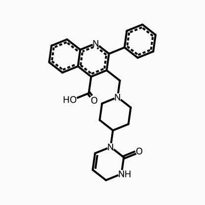 O=C(O)c1c(CN2CCC(N3C=CCNC3=O)CC2)c(-c2ccccc2)nc2ccccc12